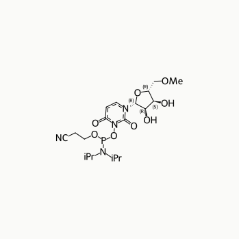 COC[C@H]1O[C@@H](n2ccc(=O)n(OP(OCCC#N)N(C(C)C)C(C)C)c2=O)[C@H](O)[C@@H]1O